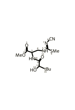 COC(=O)C(CNC(=NC#N)SC)NC(=O)C(O)C(C)(C)C